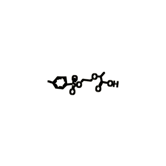 Cc1ccc(S(=O)(=O)OCCOC(C)C(=O)O)cc1